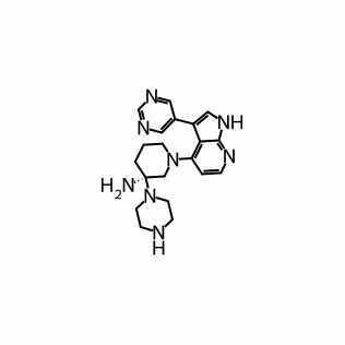 N[C@]1(N2CCNCC2)CCCN(c2ccnc3[nH]cc(-c4cncnc4)c23)C1